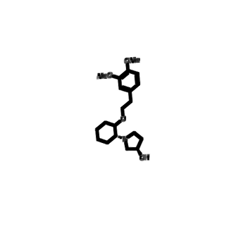 COc1ccc(CCOC2CCCC[C@H]2N2CC[C@@H](O)C2)cc1OC